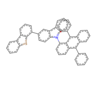 c1ccc(-c2c3ccccc3c(-c3ccccc3)c3c(-n4c5ccccc5c5cc(-c6cccc7c6sc6ccccc67)ccc54)cccc23)cc1